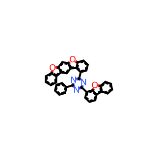 c1ccc(-c2nc(-c3cccc4c3oc3ccccc34)nc(-c3cccc4oc5cc6oc7ccccc7c6cc5c34)n2)cc1